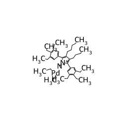 CCCCCC1=C(c2cc(CC)c(CC)c(CC)c2)[N+](=[N-])C(c2cc(CC)c(CC)c(CC)c2)=C1CCCC.C[CH2][Pd][CH2]C